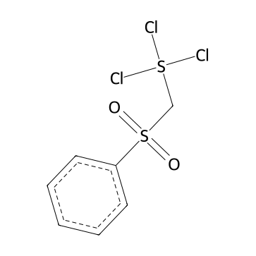 O=S(=O)(CS(Cl)(Cl)Cl)c1ccccc1